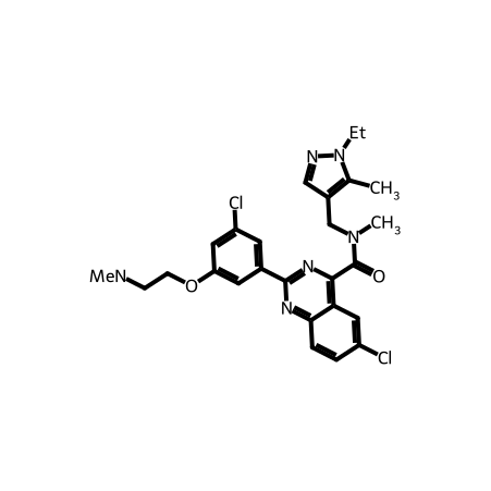 CCn1ncc(CN(C)C(=O)c2nc(-c3cc(Cl)cc(OCCNC)c3)nc3ccc(Cl)cc23)c1C